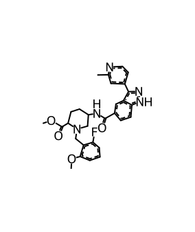 COC(=O)C1CCC(NC(=O)c2ccc3[nH]nc(-c4ccnc(C)c4)c3c2)CN1Cc1c(F)cccc1OC